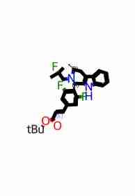 C[C@@H]1Cc2c([nH]c3ccccc23)[C@@H](c2c(F)cc(/C=C/C(=O)OC(C)(C)C)cc2F)N1CC(C)(C)F